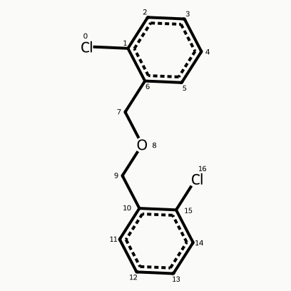 Clc1ccccc1COCc1ccccc1Cl